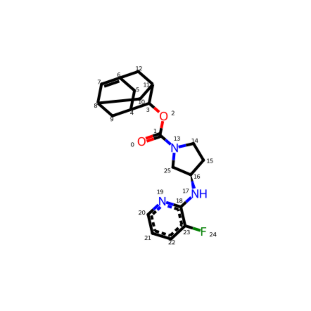 O=C(OC1C2CC3=CC(C2)CC1C3)N1CC[C@@H](Nc2ncccc2F)C1